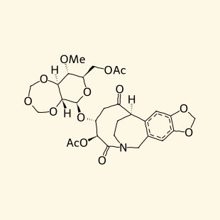 CO[C@H]1[C@@H]2OCOCO[C@H]2[C@H](O[C@@H]2CC(=O)[C@@H]3CCN(Cc4cc5c(cc43)OCO5)C(=O)[C@H]2OC(C)=O)O[C@@H]1COC(C)=O